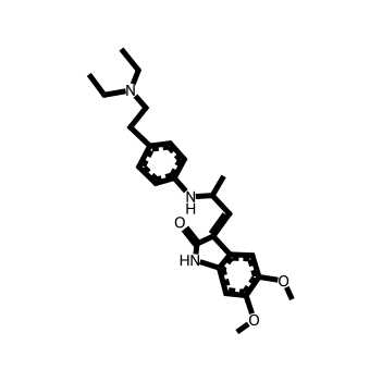 CCN(CC)CCc1ccc(NC(C)C=C2C(=O)Nc3cc(OC)c(OC)cc32)cc1